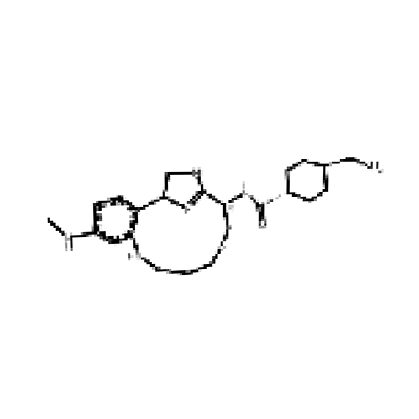 CNc1ccc2c(c1)NCCCCC[C@H](NC(=O)[C@H]1CC[C@H](CN)CC1)C1=NC2CN1